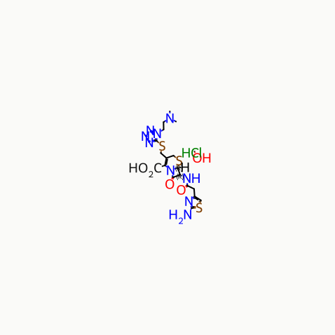 CN(C)CCn1nnnc1SCC1=C(C(=O)O)N2C(=O)[C@@H](NC(=O)Cc3csc(N)n3)[C@H]2SC1.CO.Cl